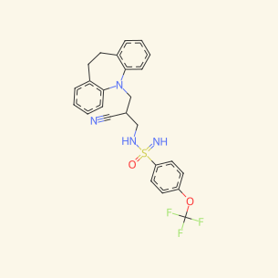 N#CC(CNS(=N)(=O)c1ccc(OC(F)(F)F)cc1)CN1c2ccccc2CCc2ccccc21